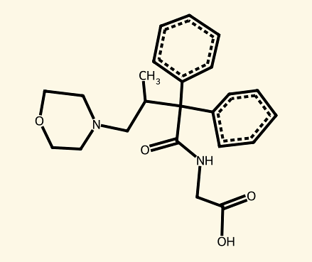 CC(CN1CCOCC1)C(C(=O)NCC(=O)O)(c1ccccc1)c1ccccc1